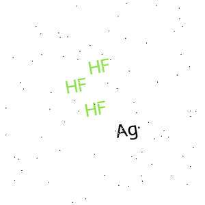 F.F.F.[Ag]